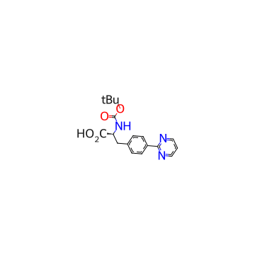 CC(C)(C)OC(=O)N[C@@H](Cc1ccc(-c2ncccn2)cc1)C(=O)O